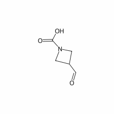 O=CC1CN(C(=O)O)C1